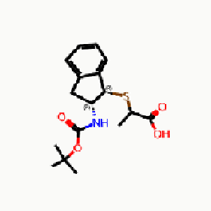 CC(S[C@@H]1c2ccccc2C[C@H]1NC(=O)OC(C)(C)C)C(=O)O